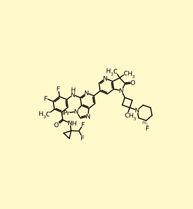 Cc1c(C(=O)NC2(C(F)F)CC2)cc(Nc2nc(-c3cnc4c(c3)N(C3CC(C)(N5CCC[C@H](F)C5)C3)C(=O)C4(C)C)cc3ncn(C(C)C)c23)c(F)c1F